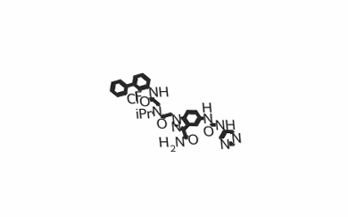 CC(C)N(CC(=O)Nc1cccc(-c2ccccc2Cl)c1F)C(=O)Cn1nc(C(N)=O)c2cc(NC(=O)Nc3cncnc3)ccc21